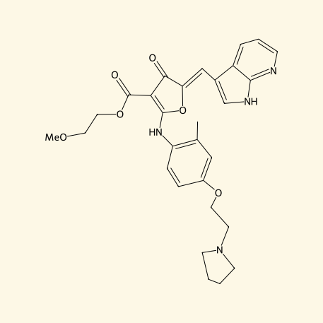 COCCOC(=O)C1=C(Nc2ccc(OCCN3CCCC3)cc2C)OC(=Cc2c[nH]c3ncccc23)C1=O